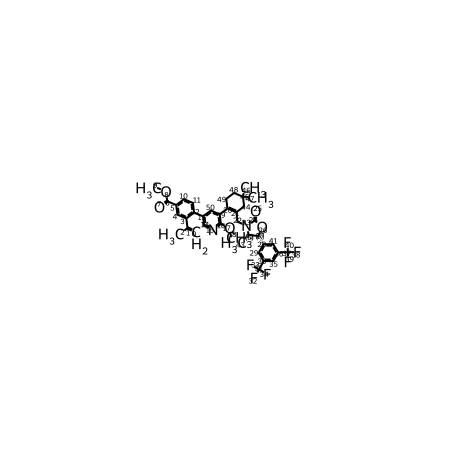 C=C(C)c1cc(C(=O)OC)ccc1-c1cnc(OC)c(C2=C(CN3C(=O)O[C@H](c4cc(C(F)(F)F)cc(C(F)(F)F)c4)[C@@H]3C)CC(C)(C)CC2)c1